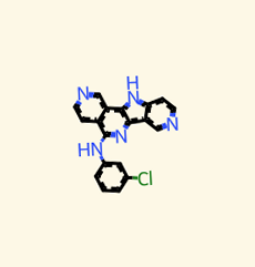 Clc1cccc(Nc2nc3c4cnccc4[nH]c3c3cnccc23)c1